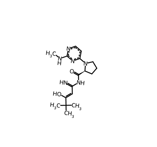 CNc1nccc(N2CCC[C@H]2C(=O)NC(=N)/C=C(\O)C(C)(C)C)n1